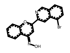 ON=c1cc(-c2cc3c(Br)cccc3cn2)oc2ccccc12